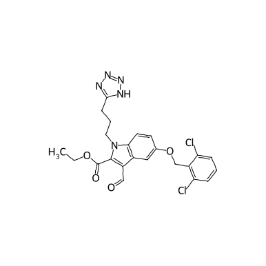 CCOC(=O)c1c(C=O)c2cc(OCc3c(Cl)cccc3Cl)ccc2n1CCCc1nnn[nH]1